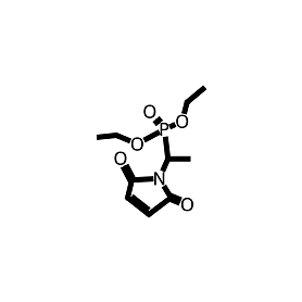 CCOP(=O)(OCC)C(C)N1C(=O)C=CC1=O